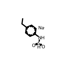 CCc1ccc(N[SH](=O)=O)cc1.[Na]